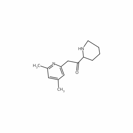 Cc1cc(C)nc(CC(=O)C2CCCCN2)c1